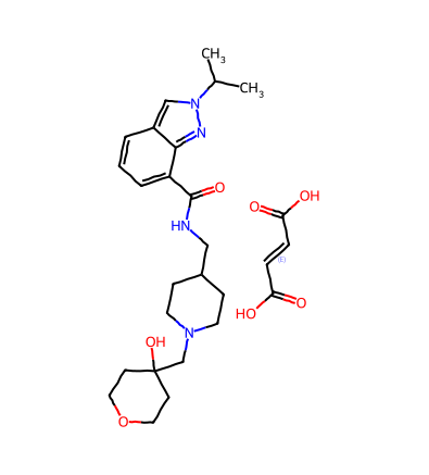 CC(C)n1cc2cccc(C(=O)NCC3CCN(CC4(O)CCOCC4)CC3)c2n1.O=C(O)/C=C/C(=O)O